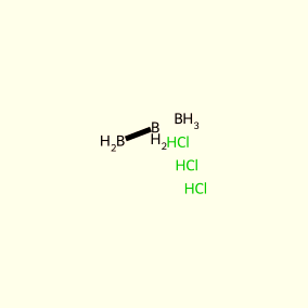 B.BB.Cl.Cl.Cl